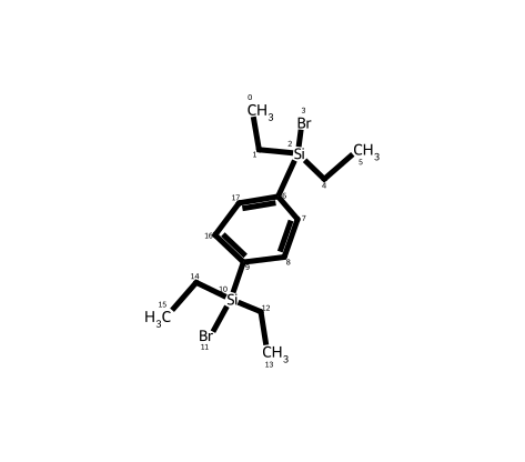 CC[Si](Br)(CC)c1ccc([Si](Br)(CC)CC)cc1